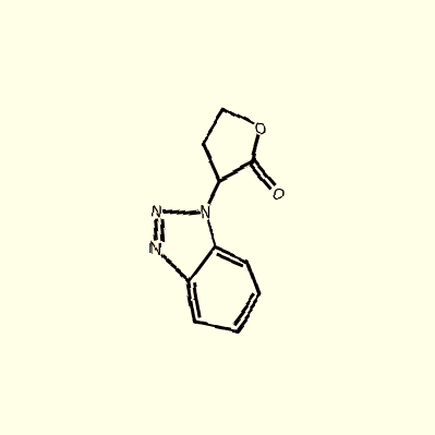 O=C1OCCC1n1nnc2ccccc21